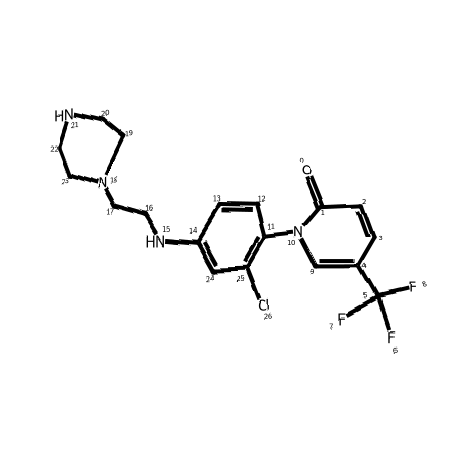 O=c1ccc(C(F)(F)F)cn1-c1ccc(NCCN2CCNCC2)cc1Cl